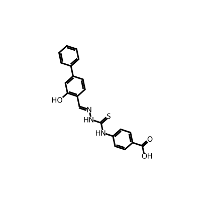 O=C(O)c1ccc(NC(=S)N/N=C/c2ccc(-c3ccccc3)cc2O)cc1